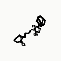 O=C(O)[C@H](CCCCN1CCCCC1=O)NC(=O)C12CC3CC(CC(C3)C1)C2